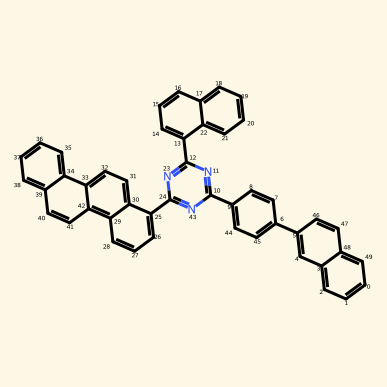 c1ccc2cc(-c3ccc(-c4nc(-c5cccc6ccccc56)nc(-c5cccc6c5ccc5c7ccccc7ccc65)n4)cc3)ccc2c1